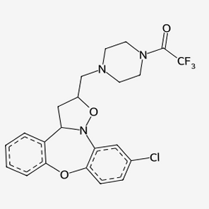 O=C(N1CCN(CC2CC3c4ccccc4Oc4ccc(Cl)cc4N3O2)CC1)C(F)(F)F